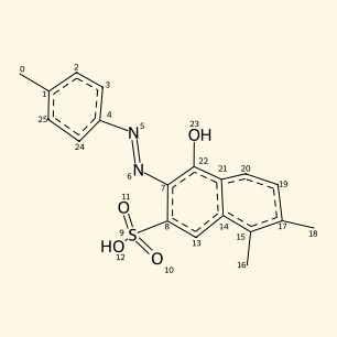 Cc1ccc(N=Nc2c(S(=O)(=O)O)cc3c(C)c(C)ccc3c2O)cc1